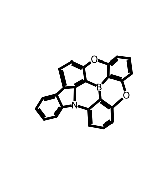 c1cc2c3c(c1)Oc1ccc4c5ccccc5n5c4c1B3c1c(cccc1-5)O2